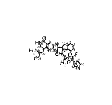 CC(C(F)Oc1cccc2cc(-c3nc4cc5c(nc4n3C)C(C[C@H](N)CF)CNC5=O)n(CC3CC3)c12)n1ccnc1